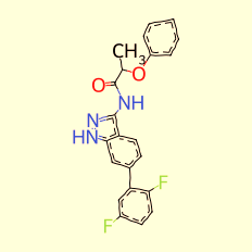 CC(Oc1ccccc1)C(=O)Nc1n[nH]c2cc(-c3cc(F)ccc3F)ccc12